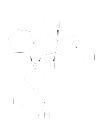 CCCCO[C@@H]1[C@H]2OC(C)(C)O[C@H]2OC12C(O)C=CC[C@@H]2OCOC